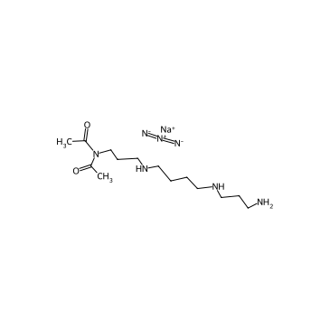 CC(=O)N(CCCNCCCCNCCCN)C(C)=O.[N-]=[N+]=[N-].[Na+]